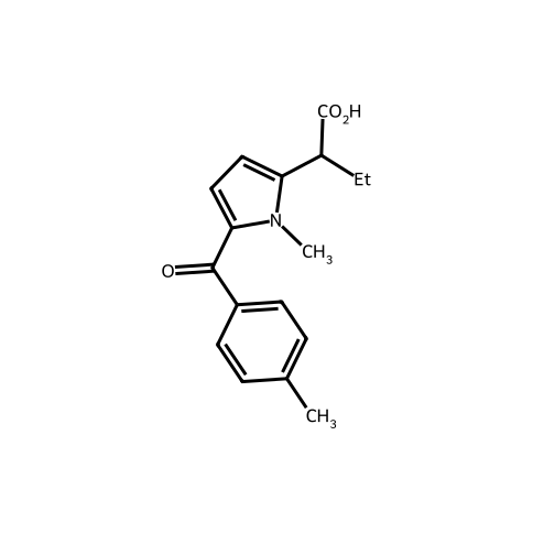 CCC(C(=O)O)c1ccc(C(=O)c2ccc(C)cc2)n1C